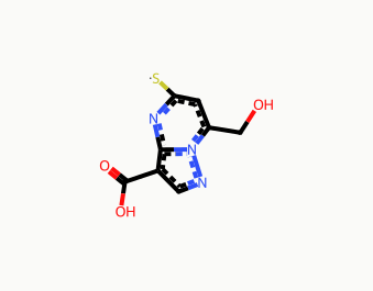 O=C(O)c1cnn2c(CO)cc([S])nc12